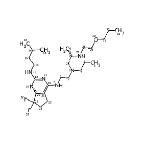 C=C(CN(CCC)CCNc1nc(NCCC(C)C)nc2c1CCC2(F)F)NCCOCCC